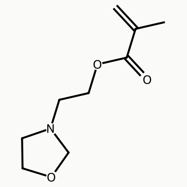 C=C(C)C(=O)OCCN1CCOC1